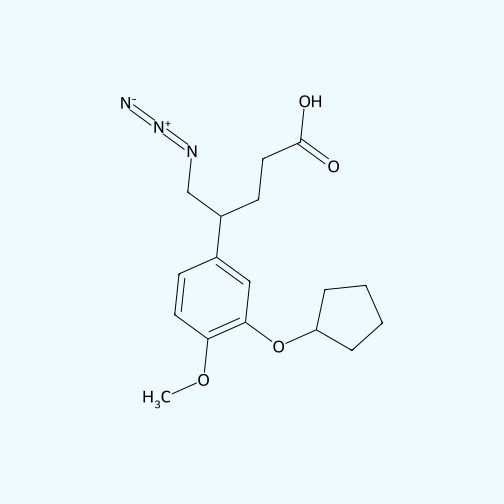 COc1ccc(C(CCC(=O)O)CN=[N+]=[N-])cc1OC1CCCC1